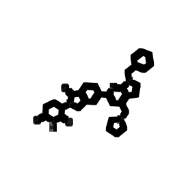 O=C1CCC(N2Cc3cc(-c4cc(CN5CCCC5)c5ccn(Cc6ccccc6)c5n4)ccc3C2=O)C(=O)N1